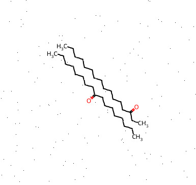 CCCCCCCCC(=O)CCCCCCCC.CCCCCCCCCCCCCC(=O)CC